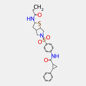 C=CC(=O)NC1CC2CN(S(=O)(=O)c3ccc(NC(=O)C4CC4c4ccccc4)cc3)CC2S1